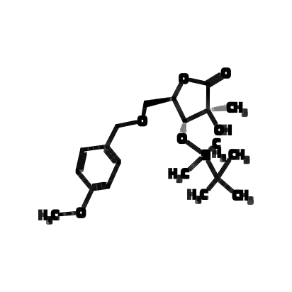 COc1ccc(COC[C@H]2OC(=O)[C@@](C)(O)[C@@H]2O[Si](C)(C)C(C)(C)C)cc1